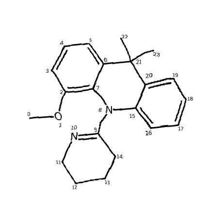 COc1cccc2c1N(C1=NCCCC1)c1ccccc1C2(C)C